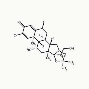 CC1(C)OC2C[C@H]3[C@@H]4C[C@H](F)C5=CC(=O)C(Cl)=C[C@]5(C)[C@@]4(F)[C@@H](O)C[C@]3(C)[C@]2(C(=O)CO)O1